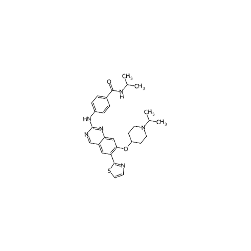 CC(C)NC(=O)c1ccc(Nc2ncc3cc(-c4nccs4)c(OC4CCN(C(C)C)CC4)cc3n2)cc1